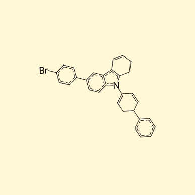 Brc1ccc(-c2ccc3c(c2)c2c(n3C3=CCC(c4ccccc4)C=C3)CCC=C2)cc1